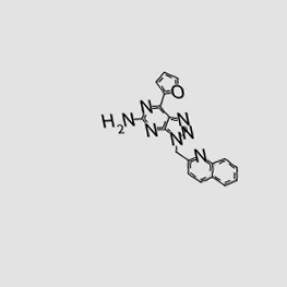 Nc1nc(-c2ccco2)c2nnn(Cc3ccc4ccccc4n3)c2n1